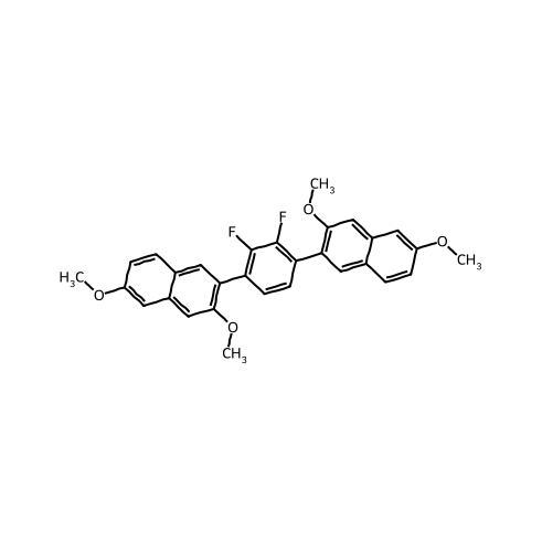 COc1ccc2cc(-c3ccc(-c4cc5ccc(OC)cc5cc4OC)c(F)c3F)c(OC)cc2c1